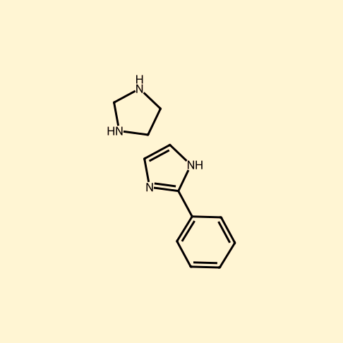 C1CNCN1.c1ccc(-c2ncc[nH]2)cc1